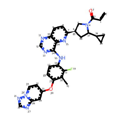 C=CC(=O)N1C[C@H](c2ccc3ncnc(Nc4ccc(Oc5ccn6ncnc6c5)c(C)c4F)c3n2)CC1C1CC1